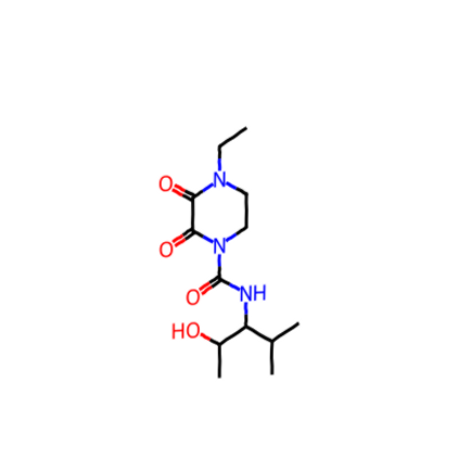 CCN1CCN(C(=O)NC(C(C)C)C(C)O)C(=O)C1=O